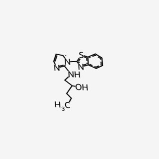 CCCC(O)CNC1=NC=C[CH]N1c1nc2ccccc2s1